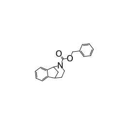 O=C(OCc1ccccc1)N1CCC2CC1c1ccccc12